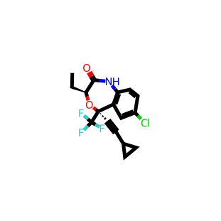 CC[C@@H]1O[C@](C#CC2CC2)(C(F)(F)F)c2cc(Cl)ccc2NC1=O